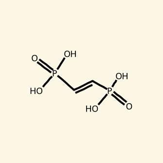 O=P(O)(O)C=CP(=O)(O)O